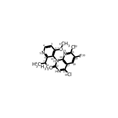 COc1ccnc(C(C)C)c1-n1c(=O)nc(Cl)c2cc(F)c(Cl)nc21